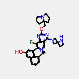 C#Cc1cccc2cc(O)cc(-c3ncc4c(N5CC6(CCN6)C5)nc(OCC56CCCN5CCC6)nc4c3F)c12